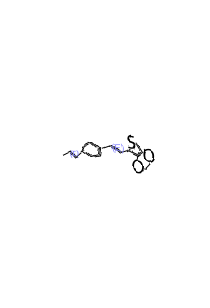 C/C=C/c1ccc(/C=C/c2scc3c2OCCO3)cc1